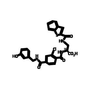 O=C(NCc1cccc(O)c1)c1ccc(C(=O)N[C@@H](CNC(=O)c2cc3ccccc3s2)C(=O)O)c(Cl)c1